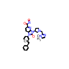 C\C=C/C(=C\C=C\c1ccccc1)n1c(=O)n(C2CCN(Cc3nccn3C)C2)c2nc(C(=O)N=O)ccc21